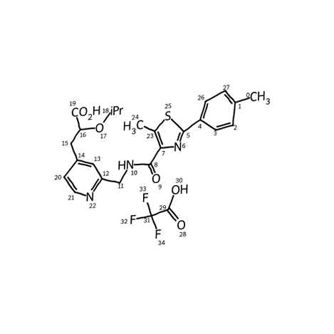 Cc1ccc(-c2nc(C(=O)NCc3cc(CC(OC(C)C)C(=O)O)ccn3)c(C)s2)cc1.O=C(O)C(F)(F)F